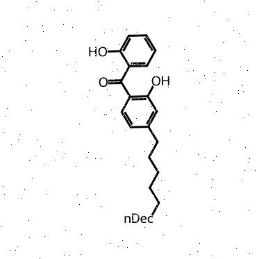 CCCCCCCCCCCCCCCc1ccc(C(=O)c2ccccc2O)c(O)c1